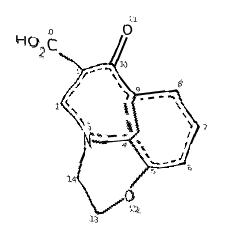 O=C(O)c1cn2c3c(cccc3c1=O)OCC2